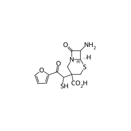 NC1C(=O)N2CC(C(=O)O)(C(S)C(=O)c3ccco3)CS[C@H]12